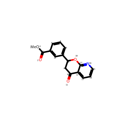 COC(=O)c1cccc(C2CC(=O)c3cccnc3O2)c1